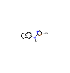 CC(=O)N(c1ccc2c(c1)CCC2)c1ncc(C(C)C)s1